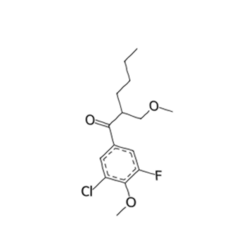 CCCCC(COC)C(=O)c1cc(F)c(OC)c(Cl)c1